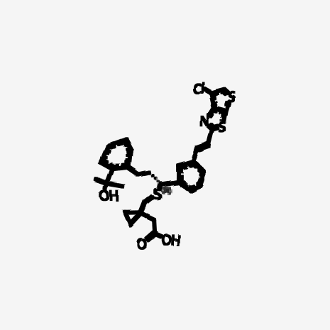 CC(C)(O)c1ccccc1CC[C@@H](SCC1(CC(=O)O)CC1)c1cccc(C=Cc2nc3c(Cl)csc3s2)c1